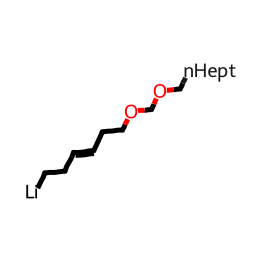 [Li][CH2]C/C=C/CCOCOCCCCCCCC